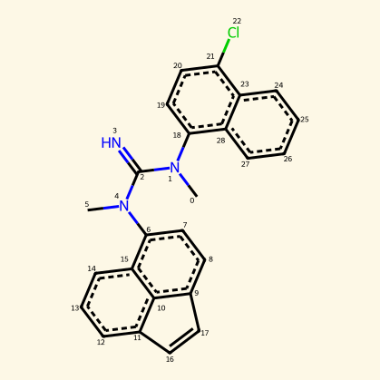 CN(C(=N)N(C)c1ccc2c3c(cccc13)C=C2)c1ccc(Cl)c2ccccc12